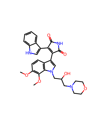 COc1ccc2c(C3=C(c4c[nH]c5ccccc45)C(=O)NC3=O)cn(CC(O)CN3CCOCC3)c2c1OC